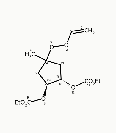 C=COOC1(C)C[C@H](OC(=O)OCC)[C@@H](OC(=O)OCC)C1